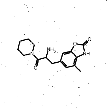 Cc1cc(CC(N)C(=O)N2CCCCC2)cc2oc(=O)[nH]c12